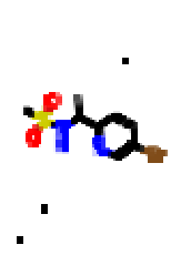 CC(NS(C)(=O)=O)c1ccc(Br)cn1